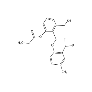 CCC(=O)Oc1cccc(CS)c1COc1ccc(C)cc1C(F)F